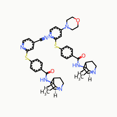 C[C@H]1[C@H](NC(=O)c2ccc(Sc3cc(C#N)ccn3)cc2)C2CCN1CC2.C[C@H]1[C@H](NC(=O)c2ccc(Sc3cc(N4CCOCC4)ccn3)cc2)C2CCN1CC2